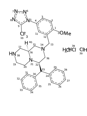 COc1ccc(-n2nnnc2C(F)(F)F)cc1CN1C[C@@H]2CNCCN2[C@H](C(c2ccccc2)c2ccccc2)C1.Cl.Cl.Cl